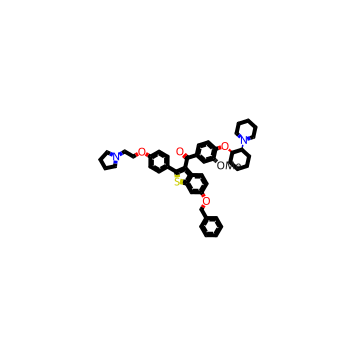 COc1cc(C(=O)c2c(-c3ccc(OCCN4CCCC4)cc3)sc3cc(OCc4ccccc4)ccc23)ccc1O[C@@H]1CCCC[C@H]1N1CCCCC1